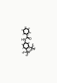 O=C(Nc1ccc(C(F)(F)F)c(C(F)(F)F)c1)c1ccccc1